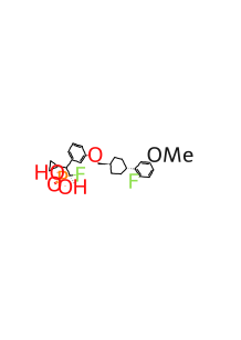 COc1ccc(F)c([C@H]2CC[C@H](COc3cccc(C(C4CC4)[C@@](C)(F)P(=O)(O)O)c3)CC2)c1